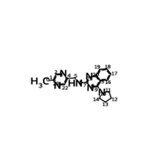 Cc1cnc(CNc2nc(N3CCCC3)c3ccccc3n2)cn1